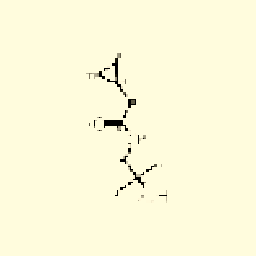 CC(C)(O)COC(=O)CC1CC1